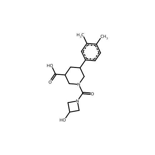 Cc1ccc(C2CC(C(=O)O)CN(C(=O)N3CC(O)C3)C2)cc1C